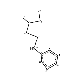 CCC(C)CCNc1cccnc1